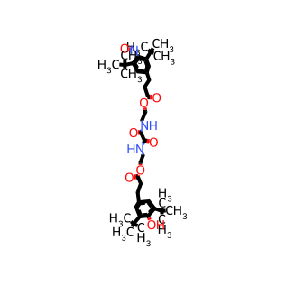 CC(C)(C)c1cc(CCC(=O)OCCNC(=O)C(=O)NCCOC(=O)CCc2cc(C(C)(C)C)c(N=O)c(C(C)(C)C)c2)cc(C(C)(C)C)c1O